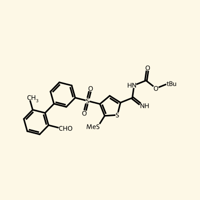 CSc1sc(C(=N)NC(=O)OC(C)(C)C)cc1S(=O)(=O)c1cccc(-c2c(C)cccc2C=O)c1